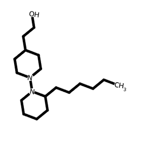 CCCCCCC1CCCCN1N1CCC(CCO)CC1